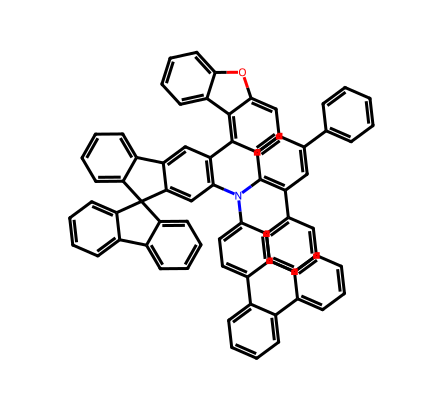 c1ccc(-c2ccc(N(c3ccc4c5ccccc5c5ccccc5c4c3)c3cc4c(cc3-c3cccc5oc6ccccc6c35)-c3ccccc3C43c4ccccc4-c4ccccc43)c(-c3ccccc3)c2)cc1